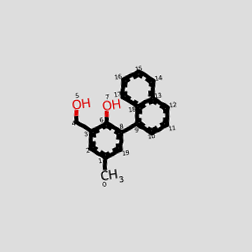 Cc1cc(CO)c(O)c(-c2cccc3ccccc23)c1